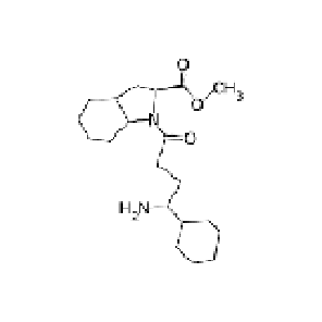 COC(=O)[C@@H]1CC2CCCCC2N1C(=O)CCC(N)C1CCCCC1